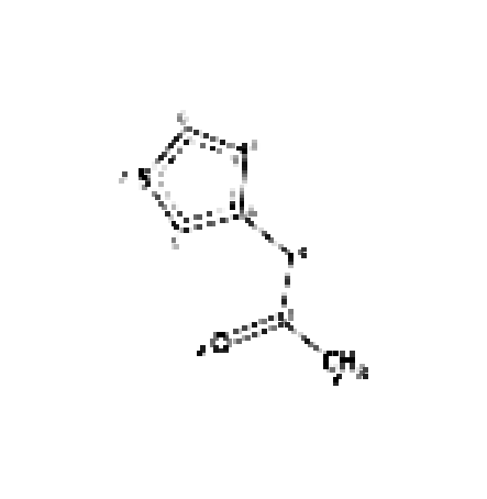 CC(=O)Cc1[c]csc1